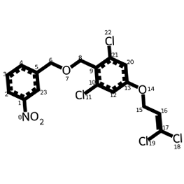 O=[N+]([O-])c1cccc(COCc2c(Cl)cc(OCC=C(Cl)Cl)cc2Cl)c1